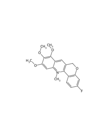 COc1cc2c(cc3c([n+]2C)-c2ccc(F)cc2OC3)c(OC)c1OC